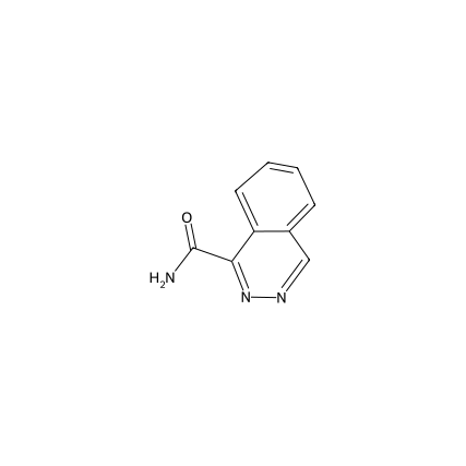 NC(=O)c1nncc2ccccc12